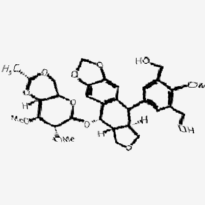 COc1c(CO)cc(C2c3cc4c(cc3[C@@H](OC3OC5CO[C@@H](C)O[C@H]5[C@H](OC)[C@H]3OC)[C@H]3COC[C@H]23)OCO4)cc1CO